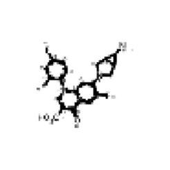 NC1C2CN(c3cc4c(cc3F)c(=O)c(C(=O)O)cn4-c3ccc(F)cc3F)CC12